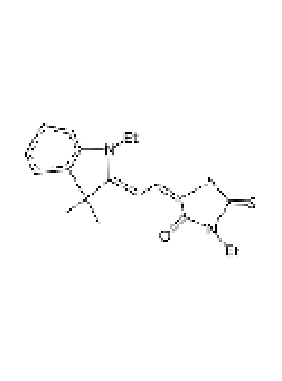 CCN1C(=O)/C(=C\C=C2/N(CC)c3ccccc3C2(C)C)SC1=S